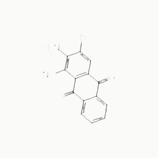 N#Cc1c(N)c(Br)cc2c1C(=O)c1ccccc1C2=O